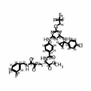 COC(=O)[C@H](CNC(=O)C(=O)NCc1ccc(F)c(F)c1)NC(=O)c1ccc(Nc2nc(NC3(c4ccc(Cl)cc4)CC3)nc(OCC(F)(F)F)n2)cc1